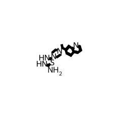 CC(c1ccc2cccnc2c1)N1CCN(C(=N)SC(=N)N)CC1